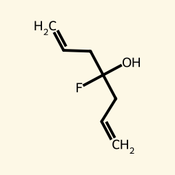 C=CCC(O)(F)CC=C